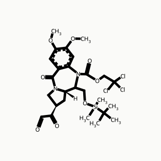 COc1cc2c(cc1OC)N(C(=O)OCC(Cl)(Cl)Cl)C(CO[Si](C)(C)C(C)(C)C)[C@@H]1C[C@@H](C(=O)C=O)CN1C2=O